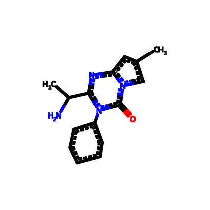 Cc1cc2nc(C(C)N)n(-c3ccccc3)c(=O)n2c1